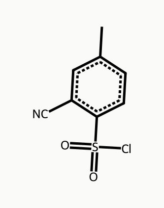 Cc1ccc(S(=O)(=O)Cl)c(C#N)c1